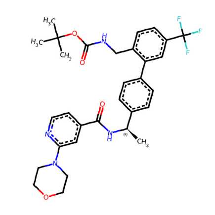 C[C@@H](NC(=O)c1ccnc(N2CCOCC2)c1)c1ccc(-c2cc(C(F)(F)F)ccc2CNC(=O)OC(C)(C)C)cc1